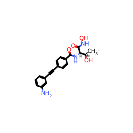 C[C@@H](O)[C@H](NC(=O)c1ccc(C#Cc2cccc(N)c2)cc1)C(=O)NO